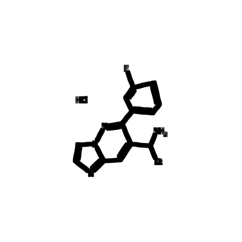 CCC(N)c1cc2nccn2nc1-c1cccc(F)c1.Cl